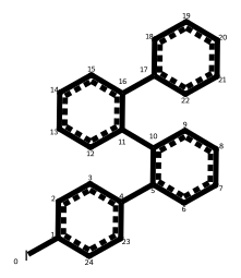 Ic1ccc(-c2ccccc2-c2ccccc2-c2ccccc2)cc1